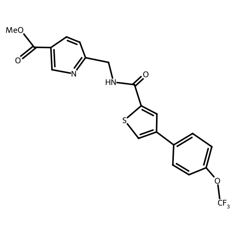 COC(=O)c1ccc(CNC(=O)c2cc(-c3ccc(OC(F)(F)F)cc3)cs2)nc1